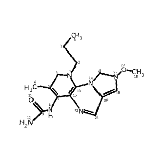 CCCN1CC(C)=C(NC(N)=O)C2=C1N1CN(OC)C=C1C=N2